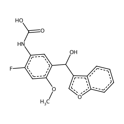 COc1cc(F)c(NC(=O)O)cc1C(O)c1coc2ccccc12